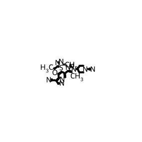 Cc1nnc(C(C)Oc2cc(-c3nnn(C4CCN(C#N)CC4)c3C)cn3ncc(C#N)c23)s1